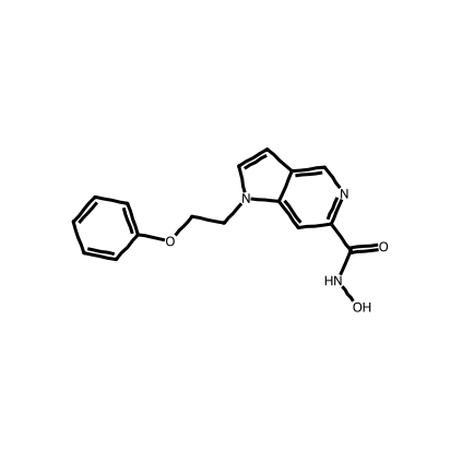 O=C(NO)c1cc2c(ccn2CCOc2ccccc2)cn1